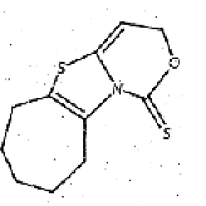 S=C1OCC=C2SC3=C(CCCCC3)N12